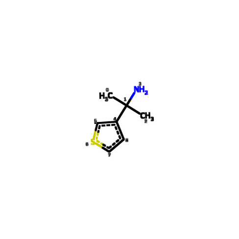 CC(C)(N)c1[c]scc1